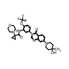 CC1(O)CCN(c2ccc3c(=O)n(-c4ccc(OC(F)(F)F)c(NC(=O)C5(N6CCOCC6)CC5)c4)cnc3c2)CC1